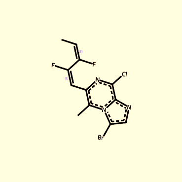 C/C=C(F)\C(F)=C/c1nc(Cl)c2ncc(Br)n2c1C